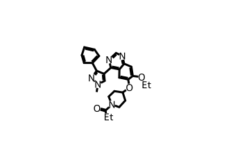 CCOc1cc2ncnc(-c3cn(C)nc3-c3ccccc3)c2cc1OC1CCN(C(=O)CC)CC1